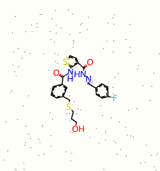 O=C(Nc1sccc1C(=O)N/N=C/c1ccc(F)cc1)c1cccc(CSCCCO)c1